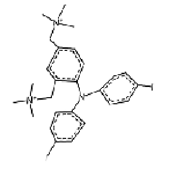 C[N+](C)(C)Cc1ccc(N(c2ccc(I)cc2)c2ccc(I)cc2)c(C[N+](C)(C)C)c1